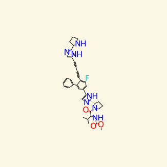 COC(=O)N[C@H](C(=O)N1CCC[C@H]1c1ncc(-c2cc(F)c(C#CC#Cc3cnc(C4CCCN4)[nH]3)c(-c3ccccc3)c2)[nH]1)C(C)C